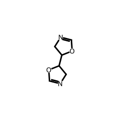 C1=NCC(C2CN=CO2)O1